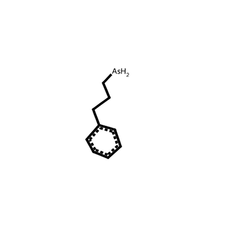 [AsH2]CCCc1ccccc1